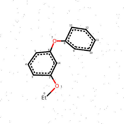 [CH2]COc1cccc(Oc2ccccc2)c1